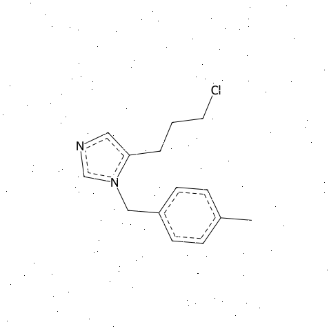 Cc1ccc(Cn2cncc2CCCCl)cc1